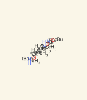 C[C@H](CNC(C)(C)C)Oc1cccc(CCC(C)(C)CCC(C)(C)NC[C@H](C)Oc2ccc(OCC(C)(C)C)cn2)c1